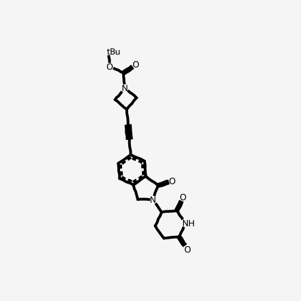 CC(C)(C)OC(=O)N1CC(C#Cc2ccc3c(c2)C(=O)N(C2CCC(=O)NC2=O)C3)C1